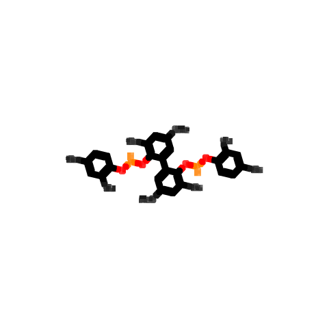 COc1cc(-c2cc(OC)cc(C(C)(C)C)c2OPOc2ccc(C(C)(C)C)cc2C(C)(C)C)c(OPOc2ccc(C(C)(C)C)cc2C(C)(C)C)c(C(C)(C)C)c1